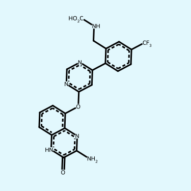 Nc1nc2c(Oc3cc(-c4ccc(C(F)(F)F)cc4CNC(=O)O)ncn3)cccc2[nH]c1=O